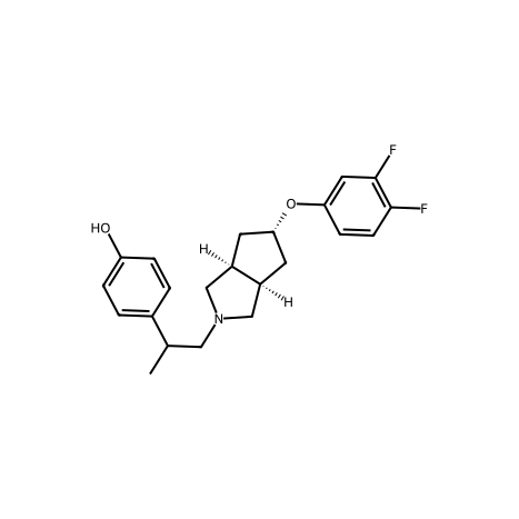 CC(CN1C[C@H]2C[C@H](Oc3ccc(F)c(F)c3)C[C@H]2C1)c1ccc(O)cc1